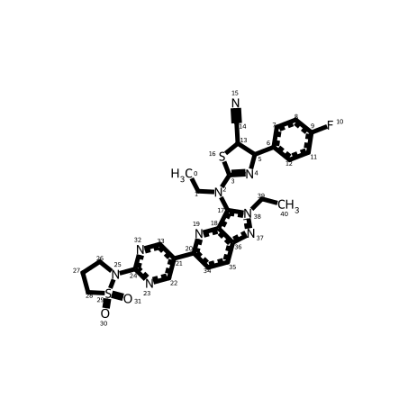 CCN(C1=NC(c2ccc(F)cc2)C(C#N)S1)c1c2nc(-c3cnc(N4CCCS4(=O)=O)nc3)ccc2nn1CC